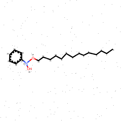 CCCCCCCCCCCCCCON(O)c1ccccc1